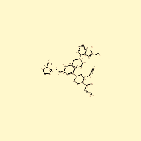 C=CC(=O)N1CCN(c2nc(OC[C@@H]3CCCN3C)nc3c2CCN(c2cccc4sc(F)cc24)C3)C[C@@H]1CC#N